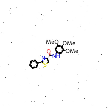 COc1cc(NC(=O)[C@@H]2CSC(c3ccccc3)=N2)cc(OC)c1OC